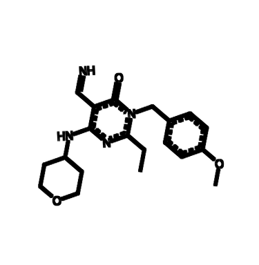 CCc1nc(NC2CCOCC2)c(C=N)c(=O)n1Cc1ccc(OC)cc1